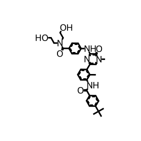 Cc1c(NC(=O)c2ccc(C(C)(C)C)cc2)cccc1-c1cn(C)c(=O)c(Nc2ccc(C(=O)N(CCO)CCO)cc2)n1